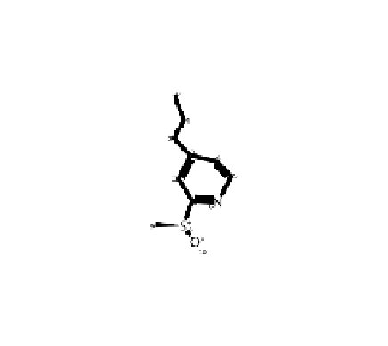 CC[CH]c1ccnc([S@+](C)[O-])c1